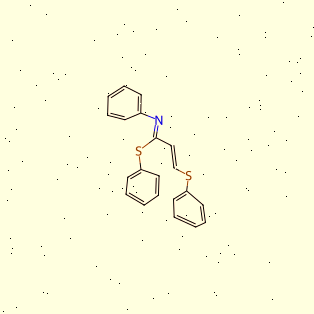 C(=CC(=Nc1ccccc1)Sc1ccccc1)Sc1ccccc1